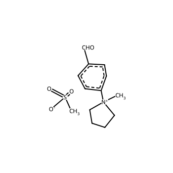 CS(=O)(=O)[O-].C[N+]1(c2ccc(C=O)cc2)CCCC1